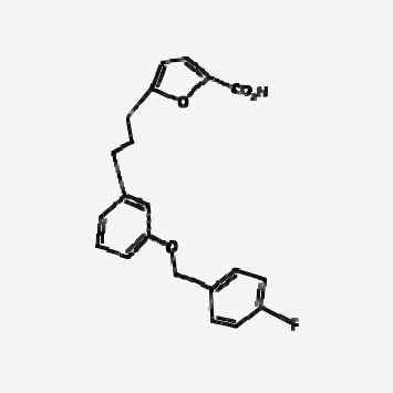 O=C(O)c1ccc(CCCc2cccc(OCc3ccc(F)cc3)c2)o1